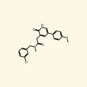 COc1ccc(-c2c[nH]c(=O)c(CC(=O)N(C)Cc3cccc(Cl)c3)c2)cc1